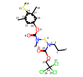 CCCN(SN(C)C(=O)Oc1cc(C)c(SC)c(C)c1)C(=O)OCC(Cl)(Cl)Cl